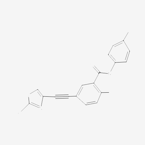 Cc1nc(C#Cc2ccc(F)c(C(=O)Nc3ccc(Cl)cc3)c2)cs1